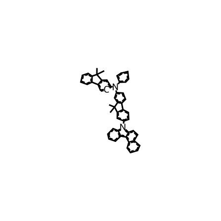 CC1(C)c2ccccc2-c2ccc(N(c3ccccc3)c3ccc4c(c3)C(C)(C)c3cc(-n5c6ccccc6c6c7ccccc7ccc65)ccc3-4)cc21